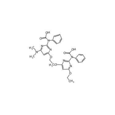 CCOc1cc(Cl)nc(N(C(=O)O)c2ccccc2)n1.CCOc1cc(N(C)C)nc(N(C(=O)O)c2ccccc2)n1